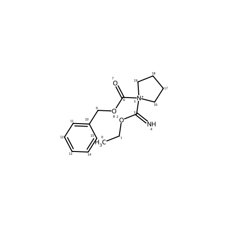 CCOC(=N)[N+]1(C(=O)OCc2ccccc2)CCCC1